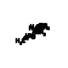 CC(C)=C(O/C(C)=C(\C)CN1CCC(C(=O)NCCCN2CCCC(C)C2)CC1)c1c(C)cccc1Cl